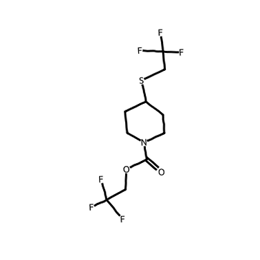 O=C(OCC(F)(F)F)N1CCC(SCC(F)(F)F)CC1